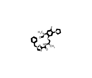 C[C@H](CSc1cc(N2CCCC2)c(F)cc1N(C)C=O)NC(=O)c1ncn(Cc2ccccc2)n1